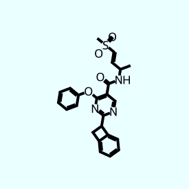 CC(/C=C/S(C)(=O)=O)NC(=O)c1cnc(C2Cc3ccccc32)nc1Oc1ccccc1